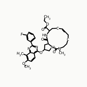 CCOC(=O)C1CCC=CCCCCN(C)C(=O)[N+]2CC(Oc3nc(-c4cccc(F)c4)nc4c(C)c(OC)ccc34)CC2C(=O)N1